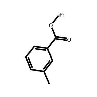 Cc1cccc(C(=O)OC(C)C)c1